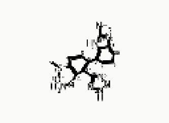 C[S+]([O-])c1ccc(-c2cccc3nc(N)[nH]c23)c(-c2nn[nH]n2)c1SN